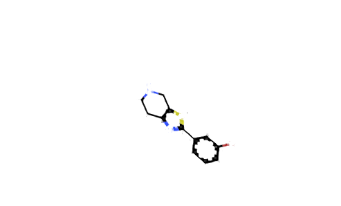 Brc1cccc(-c2nc3c(s2)CNCC3)c1